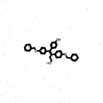 OCC/C(=C(/c1ccc(O)cc1)c1ccc(OCc2ccccc2)cc1)c1ccc(OCc2ccccc2)cc1